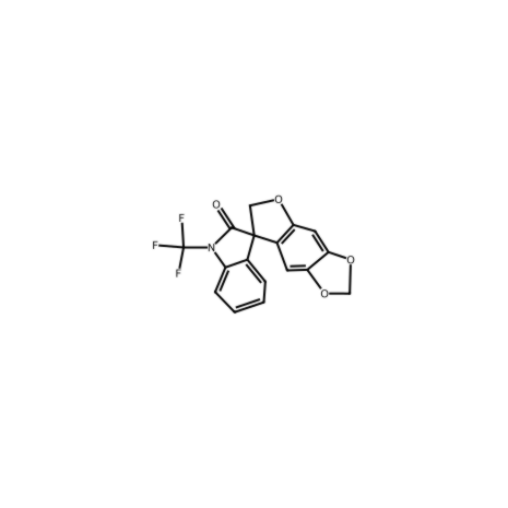 O=C1N(C(F)(F)F)c2ccccc2C12COc1cc3c(cc12)OCO3